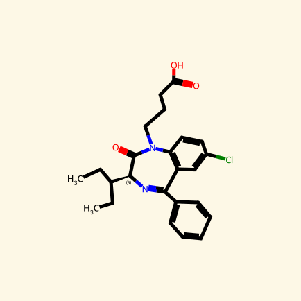 CCC(CC)[C@@H]1N=C(c2ccccc2)c2cc(Cl)ccc2N(CCCC(=O)O)C1=O